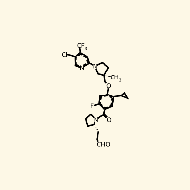 C[C@]1(COc2cc(F)c(C(=O)N3CCC[C@H]3CCC=O)cc2C2CC2)CCN(c2cc(C(F)(F)F)c(Cl)cn2)C1